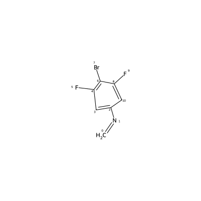 C=Nc1cc(F)c(Br)c(F)c1